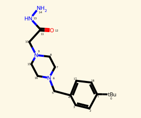 CC(C)(C)c1ccc(CN2CCN(CC(=O)NN)CC2)cc1